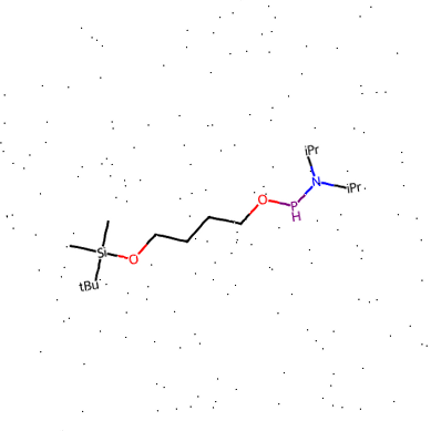 CC(C)N(POCCCCO[Si](C)(C)C(C)(C)C)C(C)C